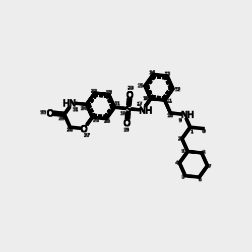 CC(CC1CCCCC1)NCc1ccccc1NS(=O)(=O)c1ccc2c(c1)OCC(=O)N2